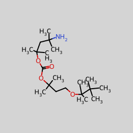 CC(C)(N)CC(C)(C)OC(=O)OC(C)(C)CCOC(C)(C)C(C)(C)C